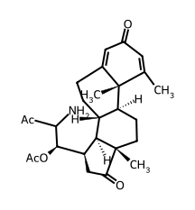 CC(=O)O[C@@H](C(N)C(C)=O)[C@@H]1CC(=O)[C@@]2(C)CC[C@H]3[C@@H](CCC4=CC(=O)C=C(C)[C@@]43C)[C@H]12